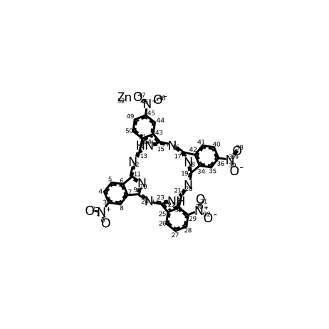 O=[N+]([O-])c1ccc2c(c1)-c1nc-2nc2[nH]c(nc3nc(nc4[nH]c(n1)c1cccc([N+](=O)[O-])c41)-c1cc([N+](=O)[O-])ccc1-3)c1cc([N+](=O)[O-])ccc21.[Zn]